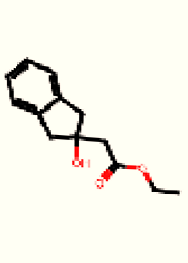 CCOC(=O)CC1(O)Cc2ccccc2C1